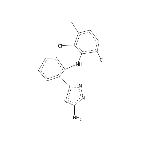 Cc1ccc(Cl)c(Nc2ccccc2-c2nnc(N)s2)c1Cl